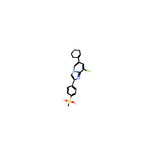 CS(=O)(=O)c1ccc(-c2cn3cc(C4=CCCCC4)cc(F)c3n2)cc1